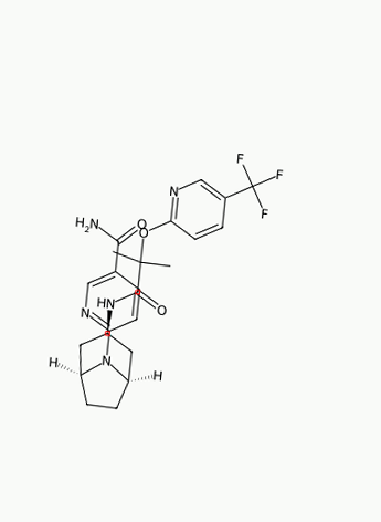 CC(C)(Oc1ccc(C(F)(F)F)cn1)C(=O)N[C@H]1C[C@H]2CC[C@@H](C1)N2c1ccc(C(N)=O)cn1